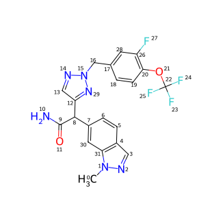 Cn1ncc2ccc(C(C(N)=O)c3cnn(Cc4ccc(OC(F)(F)F)c(F)c4)n3)cc21